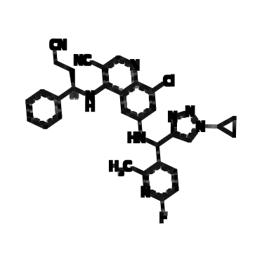 Cc1nc(F)ccc1C(Nc1cc(Cl)c2ncc(C#N)c(N[C@H](CCC#N)c3ccccc3)c2c1)c1cn(C2CC2)nn1